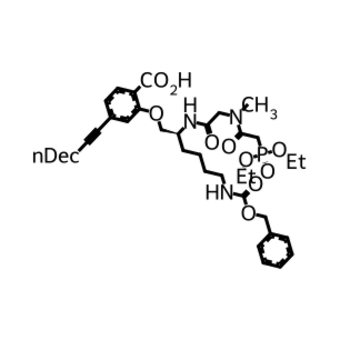 CCCCCCCCCCC#Cc1ccc(C(=O)O)c(OC[C@H](CCCCNC(=O)OCc2ccccc2)NC(=O)CN(C)C(=O)CP(=O)(OCC)OCC)c1